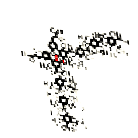 COc1c(C)c(OC(=O)c2c(C)c(C)c(OC(=O)c3c(C)cc(OC(=O)c4c(C)c(-c5cc(CC(N)C(=O)O)ccc5Oc5ccc(CC(N)C(=O)O)cc5-c5c(C)c(C(=O)Oc6cc(C)c(C(=O)Oc7c(C)c(C)c(C(=O)Oc8c(C)c(C)c(C(=O)O)c(OC)c8C)c(OC)c7C)c(OC(=O)C(F)(F)F)c6C)c(OC)c(C)c5OC)c(OC)c(C)c4OC)c(C)c3O)c(C)c2OC)c(C)c(C)c1C(=O)O